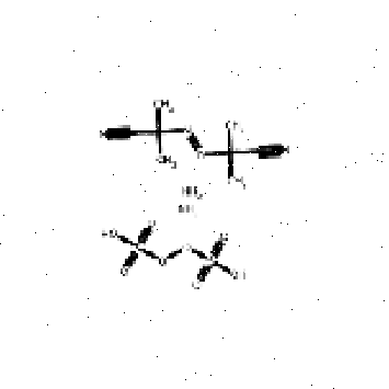 CC(C)(C#N)N=NC(C)(C)C#N.N.N.O=S(=O)(O)OOS(=O)(=O)O